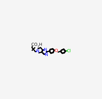 CC(C)(CC(=O)O)CN1CCc2nc(-c3ccc(OCc4ccc(Cl)cc4)cc3)ncc2C1